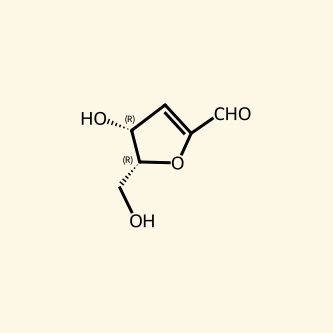 O=CC1=C[C@@H](O)[C@@H](CO)O1